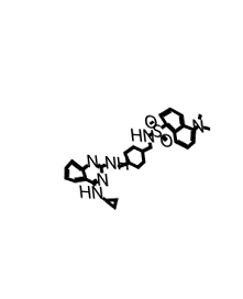 CN(C)c1cccc2c(S(=O)(=O)NCC3CCC(CNc4nc(NC5CC5)c5ccccc5n4)CC3)cccc12